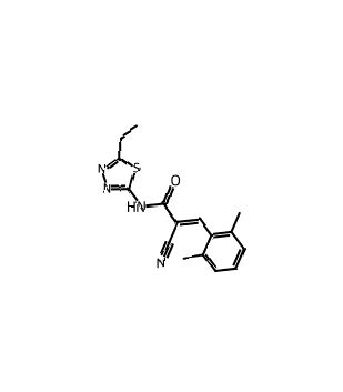 CCc1nnc(NC(=O)C(C#N)=Cc2c(C)cccc2C)s1